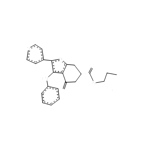 C[C@@H](CO)NC(=O)[C@@H]1CC(=O)c2c([nH]c(-c3ccncc3)c2Nc2ccccc2)C1